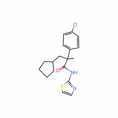 CC(CC1CCCC1)(C(=O)Nc1nccs1)c1ccc(Cl)cc1